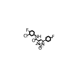 CN1C(C(=O)Nc2ccc(F)c(Cl)c2)=CC(c2ccc(F)cc2)=N[S+]1[O-]